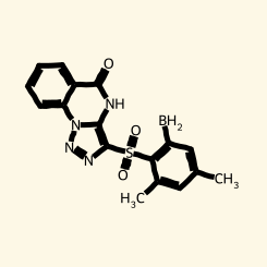 Bc1cc(C)cc(C)c1S(=O)(=O)c1nnn2c1[nH]c(=O)c1ccccc12